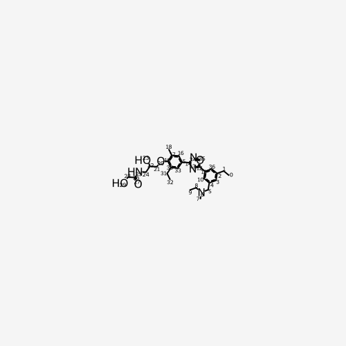 CCc1cc(CN(C)CC)cc(-c2nc(-c3cc(C)c(OCC(O)CNC(=O)CO)c(CC)c3)no2)c1